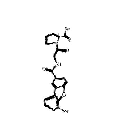 Cc1cccc2c1oc1ccc(C(=O)NCC(=O)N3CCC[C@H]3C(=O)O)cc12